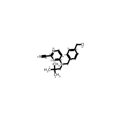 CC(C)(C)CN(Cc1ccc(CCl)cc1)c1ccnc(C#N)n1